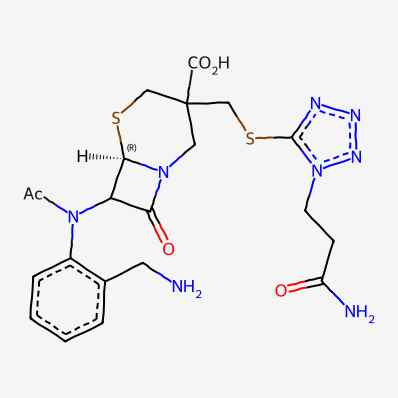 CC(=O)N(c1ccccc1CN)C1C(=O)N2CC(CSc3nnnn3CCC(N)=O)(C(=O)O)CS[C@H]12